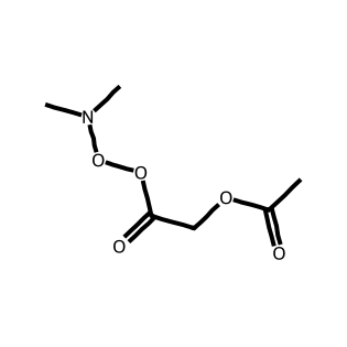 CC(=O)OCC(=O)OON(C)C